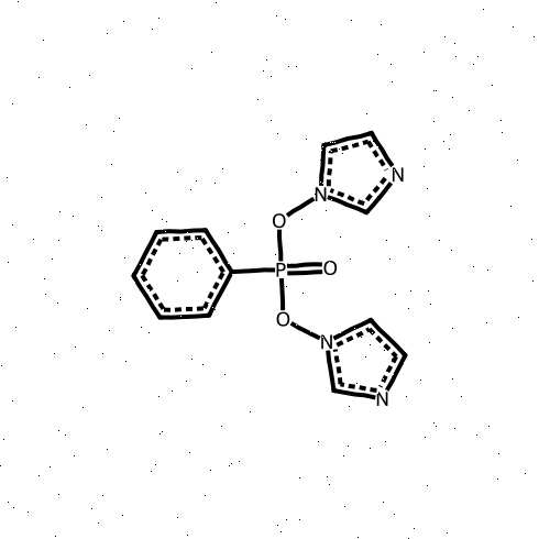 O=P(On1ccnc1)(On1ccnc1)c1ccccc1